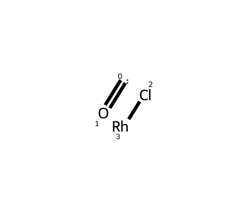 [C]=O.[Cl][Rh]